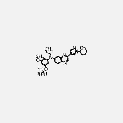 [2H]C([2H])([2H])Oc1cc(OC)cc(N(CCC)c2ccc3ncc(-c4cnn(C5CCCCO5)c4)nc3c2)c1